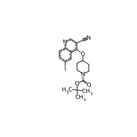 CC(C)(C)OC(=O)N1CCC(Oc2c(C#N)cnc3ccc(I)cc23)CC1